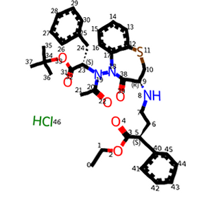 CCOC(=O)[C@@H](CCN[C@H]1CSc2ccccc2N(N(C(C)=O)[C@@H](Cc2ccccc2)C(=O)OC(C)(C)C)C1=O)c1ccccc1.Cl